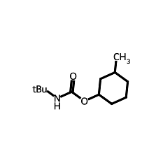 CC1CCCC(OC(=O)NC(C)(C)C)C1